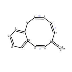 C=C1/C=C\C=C/Cc2ccccc2/C=C\1